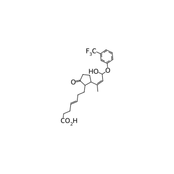 CC(=CC(O)Oc1cccc(C(F)(F)F)c1)C1CCC(=O)C1CCC=CCCC(=O)O